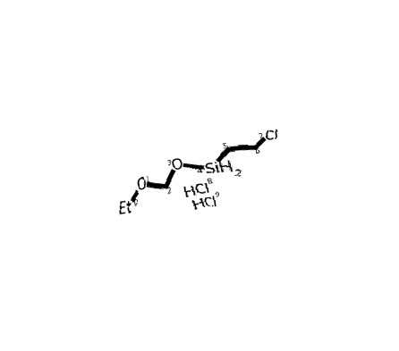 CCOCO[SiH2]CCCl.Cl.Cl